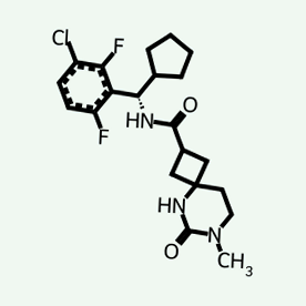 CN1CCC2(CC(C(=O)N[C@H](c3c(F)ccc(Cl)c3F)C3CCCC3)C2)NC1=O